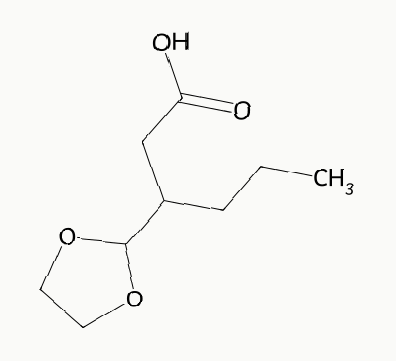 CCCC(CC(=O)O)C1OCCO1